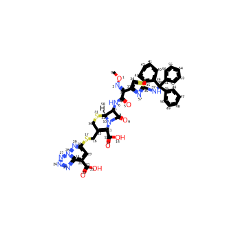 CON=C(C(=O)NC1C(=O)N2C(C(=O)O)=C(CSc3cc(C(=O)O)c4nnnn4n3)CS[C@@H]12)c1csc(NC(c2ccccc2)(c2ccccc2)c2ccccc2)n1